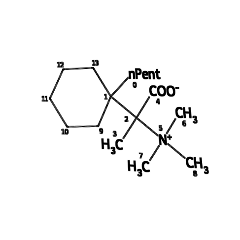 CCCCCC1(C(C)(C(=O)[O-])[N+](C)(C)C)CCCCC1